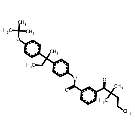 CCCC(C)(C)C(=O)c1cccc(C(=O)Oc2ccc(C(C)(CC)c3ccc(OC(C)(C)C)cc3)cc2)c1